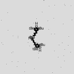 CC(C)(C)c1cc(C=CC=CO[PH](=O)OC=CC=Cc2cc(C(C)(C)C)c(O)c(C(C)(C)C)c2)cc(C(C)(C)C)c1O